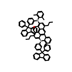 CCCc1cc(N(c2cccc(C3(c4ccccc4)c4ccccc4-c4ccccc43)c2)c2c(C)cccc2C)c2ccc3c(CCC)cc(N(c4cccc(C5(c6ccccc6)c6ccccc6-c6ccccc65)c4)c4c(C)cccc4C)c4ccc1c2c34